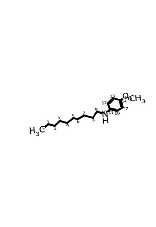 CCCCCCCCCCNc1ccc(OC)cc1